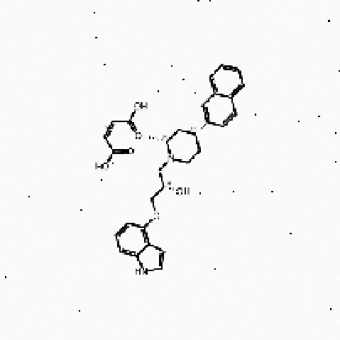 C[C@@H]1C[C@H](c2ccc3ccccc3c2)CCN1C[C@H](O)COc1cccc2[nH]ccc12.O=C(O)/C=C\C(=O)O